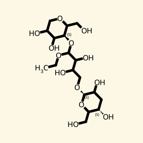 CCOC(O[C@@H]1C(CO)OCC(O)C1O)C(O)C(O)CO[C@H]1OC(CO)[C@@H](O)CC1O